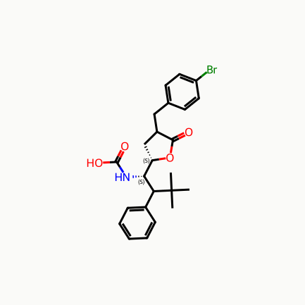 CC(C)(C)C(c1ccccc1)[C@H](NC(=O)O)[C@@H]1CC(Cc2ccc(Br)cc2)C(=O)O1